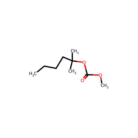 CCCCC(C)(C)OC(=O)OC